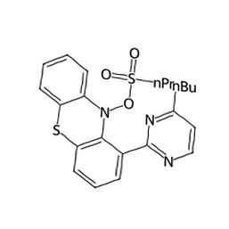 CCCCc1ccnc(-c2cccc3c2N(OS(=O)(=O)CCC)c2ccccc2S3)n1